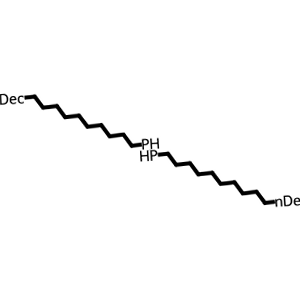 CCCCCCCCCCCCCCCCCCCCPPCCCCCCCCCCCCCCCCCCCC